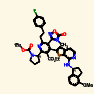 CCOC(=O)c1c([C@H]2CCCN2C(=O)OC(C)(C)C)nc(CCc2ccc(F)cc2)c(-c2noc(=O)n2C)c1-c1cc2ccnc(N[C@@H]3CCc4c(OC)cccc43)c2s1